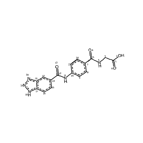 O=C(O)CNC(=O)c1ccc(NC(=O)c2ccc3[nH]nnc3c2)cc1